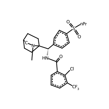 CCCS(=O)(=O)c1ccc([C@H](NC(=O)c2cccc(C(F)(F)F)c2Cl)C23CCC(CC2)CN3C)cc1